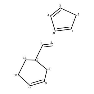 C1=CCC=C1.C=CC1CC=CCC1